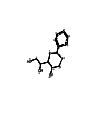 OCC(O)C1OC(c2ccccc2)OCC1O